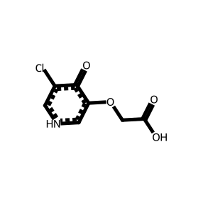 O=C(O)COc1c[nH]cc(Cl)c1=O